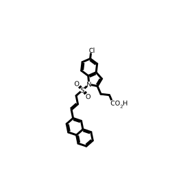 O=C(O)CCc1cc2cc(Cl)ccc2n1S(=O)(=O)CC=Cc1ccc2ccccc2c1